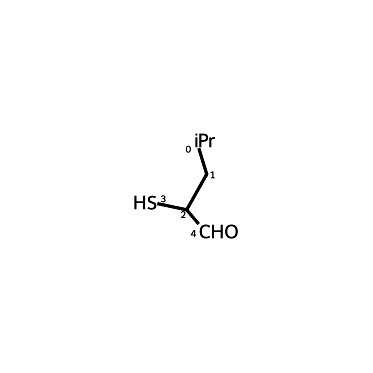 CC(C)CC(S)C=O